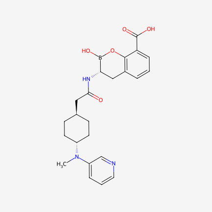 CN(c1cccnc1)[C@H]1CC[C@H](CC(=O)N[C@H]2Cc3cccc(C(=O)O)c3OB2O)CC1